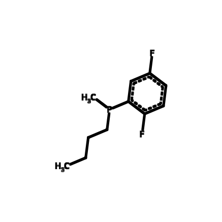 CCCCP(C)c1cc(F)ccc1F